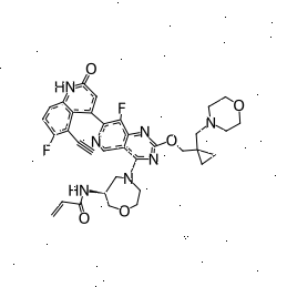 C#Cc1c(F)ccc2[nH]c(=O)cc(-c3ncc4c(N5CCOC[C@@H](NC(=O)C=C)C5)nc(OCC5(CN6CCOCC6)CC5)nc4c3F)c12